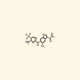 CNC(=O)c1coc2cc(Nc3ncc(C(F)(F)F)c(NC)n3)c(OC)cc12